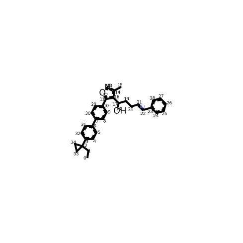 CCC1(c2ccc(-c3ccc(-c4onc(C)c4C(O)CC/C=C/c4ccccc4)cc3)cc2)CC1